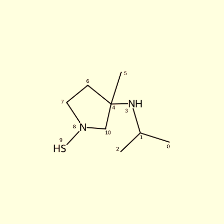 CC(C)NC1(C)CCN(S)C1